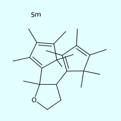 CC1=C(C)C(C)(C)C(C2CCOC2(C)C2=C(C)C(C)=C(C)C2(C)C)=C1C.[Sm]